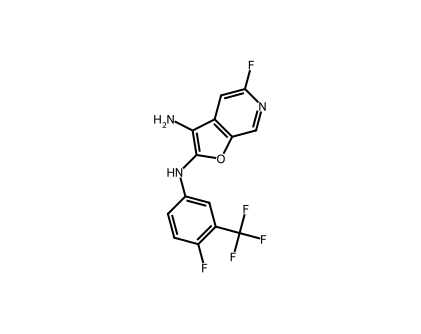 Nc1c(Nc2ccc(F)c(C(F)(F)F)c2)oc2cnc(F)cc12